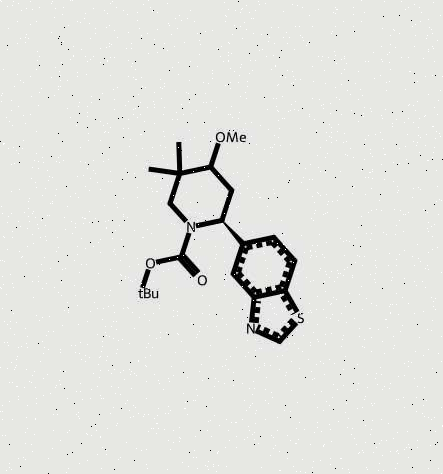 COC1C[C@@H](c2ccc3scnc3c2)N(C(=O)OC(C)(C)C)CC1(C)C